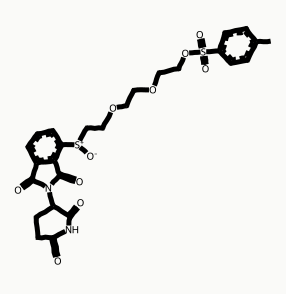 Cc1ccc(S(=O)(=O)OCCOCCOCC[S+]([O-])c2cccc3c2C(=O)N(C2CCC(=O)NC2=O)C3=O)cc1